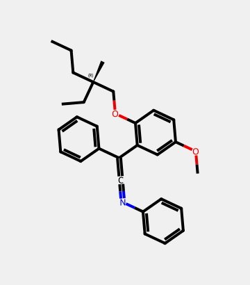 CCC[C@@](C)(CC)COc1ccc(OC)cc1C(=C=Nc1ccccc1)c1ccccc1